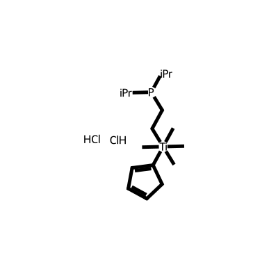 CC(C)P(C[CH2][Ti]([CH3])([CH3])([CH3])([CH3])[C]1=CC=CC1)C(C)C.Cl.Cl